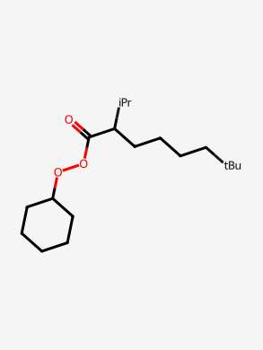 CC(C)C(CCCCC(C)(C)C)C(=O)OOC1CCCCC1